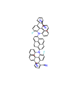 N#Cc1ccccc1-c1ccc(F)c(N(c2ccccc2)c2ccc3ccc4c(N(c5ccccc5)c5c(F)ccc(-c6ccccc6C#N)c5-c5ccccc5C#N)ccc5ccc2c3c54)c1-c1ccccc1C#N